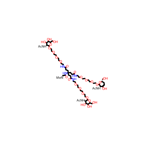 CNCC(=O)NC(CCC(=O)NCCOCCOCCOCCOC1O[C@H](CO)CC=C(O)C1NC(C)=O)(CCC(=O)NCCOCCOCCOCCOC1OC(CO)C(O)C(O)C1NC(C)=O)CCC(=O)NCCOCCOCCOCCOC1OC(CO)C(O)C(O)C1NC(C)=O